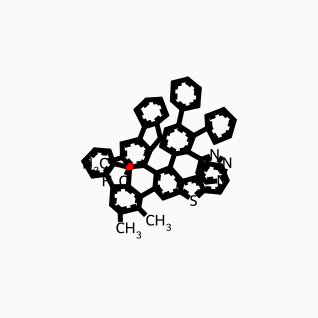 Cc1cc2c(c(-c3cc4sc5ccccc5c4c(-c4ccc(-c5ccccc5)c(-c5ccccc5)c4-c4ccnnn4)c3-c3c(C)c(C)cc4c3Cc3ccccc3-4)c1C)Cc1ccccc1-2